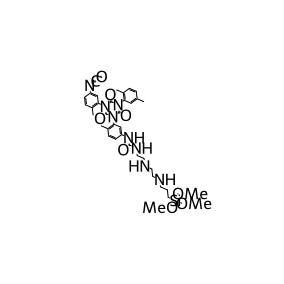 CO[Si](CCCNCCNCCNC(=O)Nc1ccc(C)c(-n2c(=O)n(-c3cc(C)ccc3C)c(=O)n(-c3cc(N=C=O)ccc3C)c2=O)c1)(OC)OC